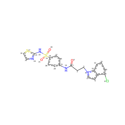 O=C(CCn1ccc2c(Cl)cccc21)Nc1ccc(S(=O)(=O)Nc2nccs2)cc1